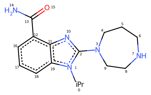 CC(C)n1c(N2CCCNCC2)nc2c(C(N)=O)cccc21